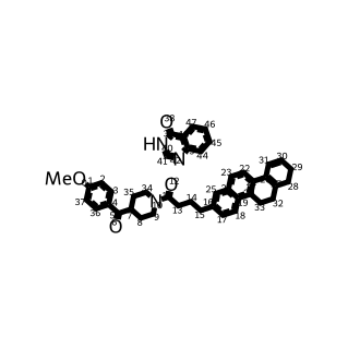 COc1ccc(C(=O)C2CCN(C(=O)CCCc3ccc4c5c(ccc4c3)C3=C(CCC=C3)CC5)CC2)cc1.O=c1[nH]cnc2ccccc12